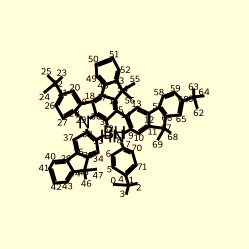 CC(C)(C)c1ccc(Nc2cc3c(cc2-c2c4c(c5c6cc(C(C)(C)C)ccc6n6c5c2Bc2cc5c(cc2-6)-c2ccccc2C5(C)C)-c2ccccc2C4(C)C)-c2ccc(C(C)(C)C)cc2C3(C)C)cc1